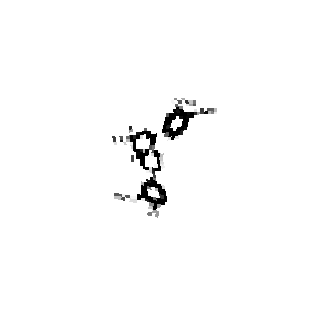 COc1cc(N2CCN3[C@H](C2)C[C@@](C)(O)C[C@@H]3c2ccc(OC)c(OC)c2)ccc1Cl